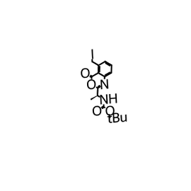 C[C@H](NC(=O)OC(C)(C)C)c1nc2cccc(CI)c2c(=O)o1